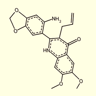 C=CCc1c(-c2cc3c(cc2N)OCO3)[nH]c2cc(OC)c(OC)cc2c1=O